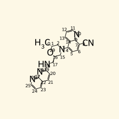 C[C@@H]1CN(c2ccc(C#N)c3ncccc23)C[C@@H](CNc2ccc3cccnc3n2)O1